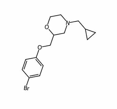 Brc1ccc(OCC2CN(CC3CC3)CCO2)cc1